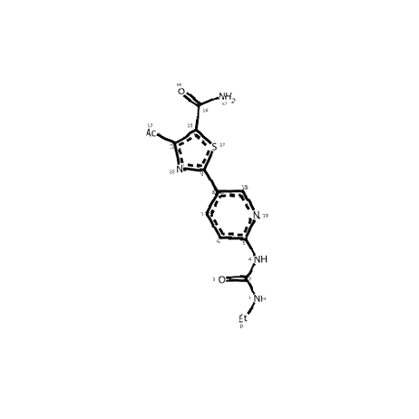 CCNC(=O)Nc1ccc(-c2nc(C(C)=O)c(C(N)=O)s2)cn1